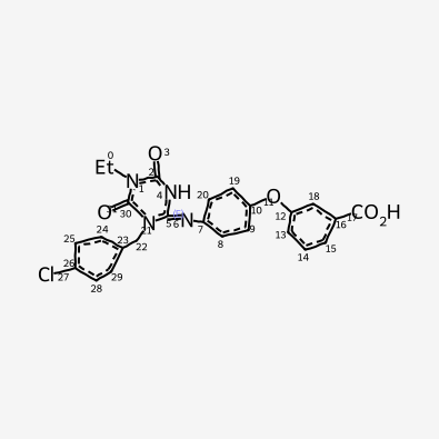 CCn1c(=O)[nH]/c(=N\c2ccc(Oc3cccc(C(=O)O)c3)cc2)n(Cc2ccc(Cl)cc2)c1=O